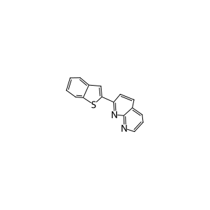 c1cnc2nc(-c3cc4ccccc4s3)ccc2c1